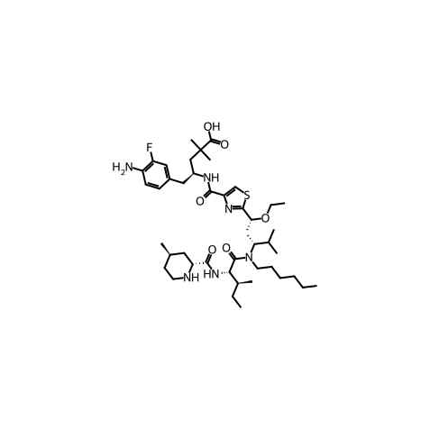 CCCCCCN(C(=O)[C@@H](NC(=O)[C@H]1C[C@H](C)CCN1)[C@@H](C)CC)[C@H](C[C@@H](OCC)c1nc(C(=O)N[C@@H](Cc2ccc(N)c(F)c2)CC(C)(C)C(=O)O)cs1)C(C)C